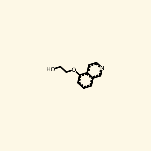 OCCOc1cccc2cnccc12